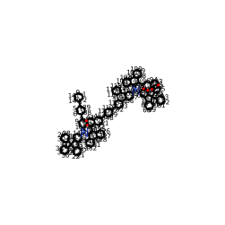 c1ccc(-c2ccc(-c3ccc(N(c4ccc5c(c4)-c4ccccc4C5(c4ccccc4)c4ccccc4)c4c(-c5cccc6cc(-c7ccc(-c8ccc(-c9ccc(N(c%10ccc%11c(c%10)-c%10ccccc%10C%11(c%10ccccc%10)c%10ccccc%10)c%10c(-c%11ccc%12ccccc%12c%11)c%11ccccc%11c%11ccccc%10%11)cc9-c9ccccc9)cc8)cc7)ccc56)c5ccccc5c5ccccc45)cc3)cc2)cc1